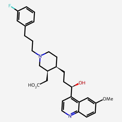 COc1ccc2nccc([C@H](O)CC[C@@H]3CCN(CCCc4cccc(F)c4)C[C@@H]3CC(=O)O)c2c1